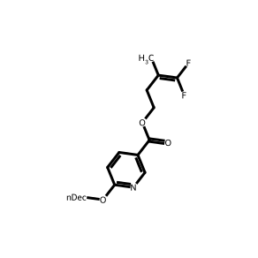 CCCCCCCCCCOc1ccc(C(=O)OCCC(C)=C(F)F)cn1